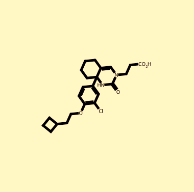 O=C(O)CCN1C=C2CCCCC2(c2ccc(OCCC3CCC3)c(Cl)c2)NC1=O